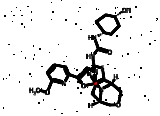 COc1cccc(-c2cnc(N3[C@@H]4COC[C@H]3c3sc(NC(=O)N[C@H]5CC[C@@H](O)CC5)nc3C4)o2)n1